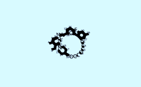 CCc1c(C)cc2nc3cn2c1N1CCC(C)(CC1)OCCOCCOc1cc(C)cc(F)c1-c1cccc-3c1